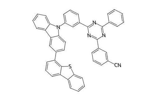 N#Cc1cccc(-c2nc(-c3ccccc3)nc(-c3cccc(-n4c5ccccc5c5cc(-c6cccc7c6sc6ccccc67)ccc54)c3)n2)c1